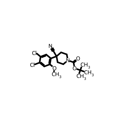 COc1cc(Cl)c(Cl)cc1C1(C#N)CCN(C(=O)OC(C)(C)C)CC1